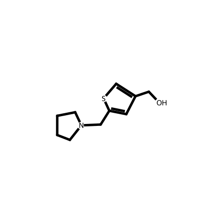 OCc1csc(CN2CCCC2)c1